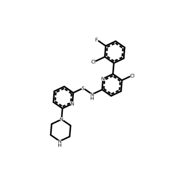 Fc1cccc(-c2nc(NSc3cccc(N4CCNCC4)n3)ccc2Cl)c1Cl